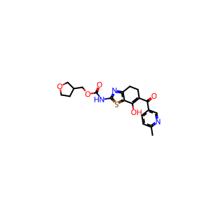 Cc1ccc(C(=O)C2=C(O)c3sc(NC(=O)OCC4CCOC4)nc3CC2)cn1